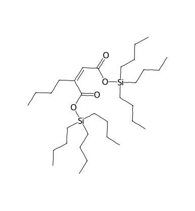 CCCC/C(=C/C(=O)O[Si](CCCC)(CCCC)CCCC)C(=O)O[Si](CCCC)(CCCC)CCCC